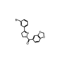 O=C(c1ccc2c(c1)OCO2)N1CCC(c2cccc(Br)c2)=N1